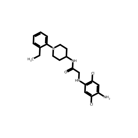 CCc1ccccc1N1CCC(NC(=O)CNc2cc(Cl)c(N)cc2Cl)CC1